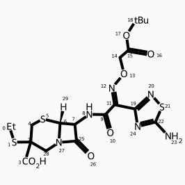 CCSC1(C(=O)O)CS[C@@H]2C(NC(=O)C(=NOCC(=O)OC(C)(C)C)c3nsc(N)n3)C(=O)N2C1